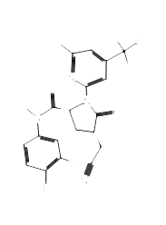 Cc1cc(C(F)(F)F)cc(N2C(=O)[C@@H](CC#N)C[C@H]2C(=O)N(C)c2ccc(F)c(Cl)c2)n1